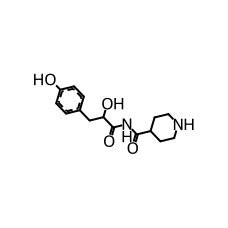 O=C(NC(=O)C1CCNCC1)C(O)Cc1ccc(O)cc1